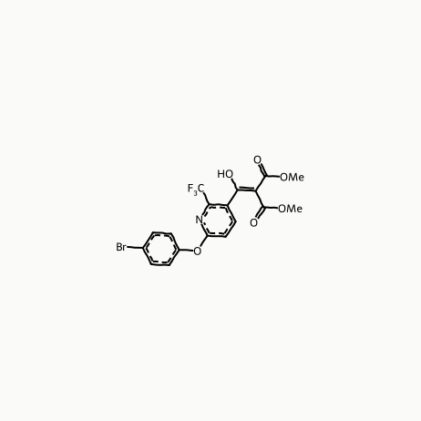 COC(=O)C(C(=O)OC)=C(O)c1ccc(Oc2ccc(Br)cc2)nc1C(F)(F)F